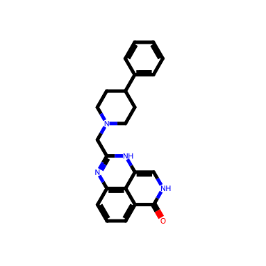 O=c1[nH]cc2c3c(cccc13)N=C(CN1CCC(c3ccccc3)CC1)N2